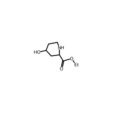 CCOC(=O)C1CC(O)CCN1